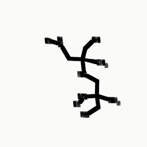 CCNC[C@](C)(CS)NCC(N)(CS)NCC